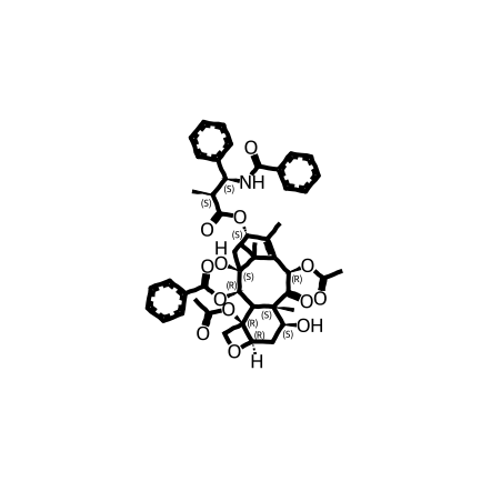 CC(=O)O[C@H]1C(=O)[C@@]2(C)C([C@@H](OC(=O)c3ccccc3)[C@]3(O)C[C@H](OC(=O)[C@@H](C)[C@H](NC(=O)c4ccccc4)c4ccccc4)C(C)=C1C3(C)C)[C@@]1(OC(C)=O)CO[C@@H]1C[C@@H]2O